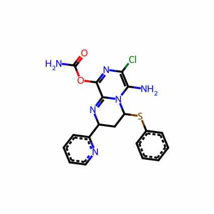 NC(=O)OC1=NC(Cl)=C(N)N2C1=NC(c1ccccn1)CC2Sc1ccccc1